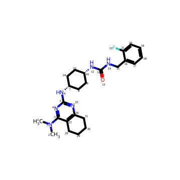 CN(C)c1nc(N[C@H]2CC[C@@H](NC(=O)NCc3ccccc3F)CC2)nc2c1CCCC2